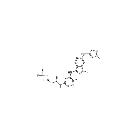 Cc1ncc(NC(=O)CN2CC(F)(F)C2)cc1Nc1nn(C)c2nc(Nc3cnn(C)c3)ncc12